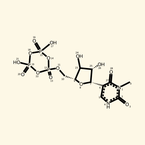 Cn1c(=O)[nH]cc([C@@H]2O[C@H](COP3(=O)OP(=O)(O)OP(=O)(O)O3)C(O)[C@@H]2O)c1=O